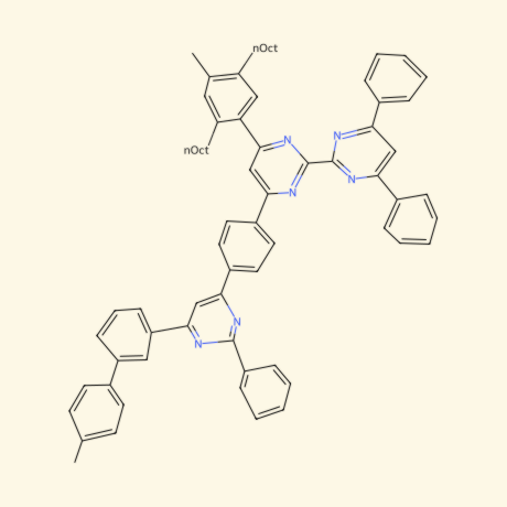 CCCCCCCCc1cc(-c2cc(-c3ccc(-c4cc(-c5cccc(-c6ccc(C)cc6)c5)nc(-c5ccccc5)n4)cc3)nc(-c3nc(-c4ccccc4)cc(-c4ccccc4)n3)n2)c(CCCCCCCC)cc1C